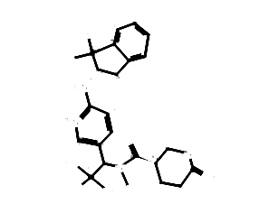 CN(C(=O)[C@@H]1CCC(=O)NC1)C(c1ccc(N[C@H]2Cc3ccccc3C2(C)C)nc1)C(F)(F)F